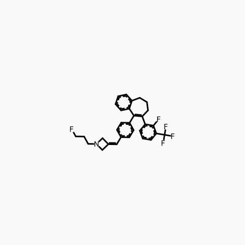 FCCCN1CC(=Cc2ccc(C3=C(c4cccc(C(F)(F)F)c4F)CCCc4ccccc43)cc2)C1